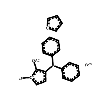 CC[c-]1ccc(P(c2ccccc2)c2ccccc2)c1OC(C)=O.[Fe+2].c1cc[cH-]c1